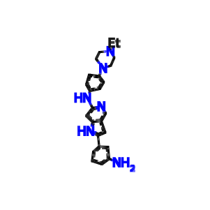 CCN1CCN(c2ccc(Nc3cc4[nH]c(-c5cccc(N)c5)cc4cn3)cc2)CC1